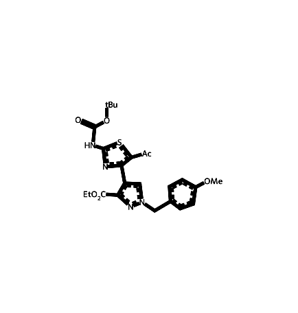 CCOC(=O)c1nn(Cc2ccc(OC)cc2)cc1-c1nc(NC(=O)OC(C)(C)C)sc1C(C)=O